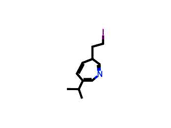 CC(C)C1=CN=CC(CCI)C=C1